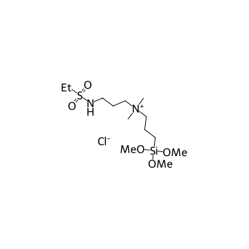 CCS(=O)(=O)NCCC[N+](C)(C)CCC[Si](OC)(OC)OC.[Cl-]